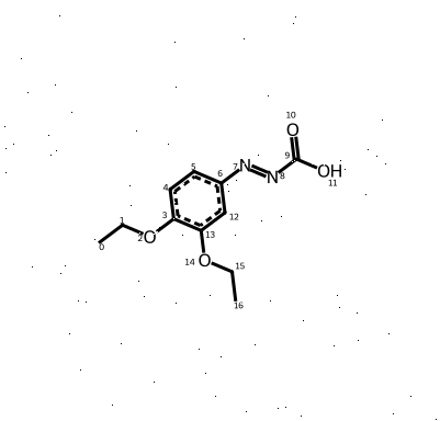 CCOc1ccc(N=NC(=O)O)cc1OCC